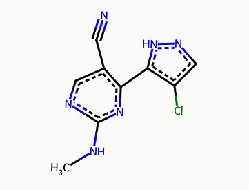 CNc1ncc(C#N)c(-c2[nH]ncc2Cl)n1